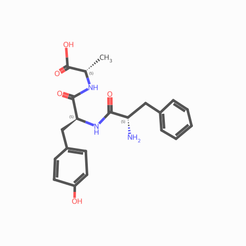 C[C@H](NC(=O)[C@H](Cc1ccc(O)cc1)NC(=O)[C@@H](N)Cc1ccccc1)C(=O)O